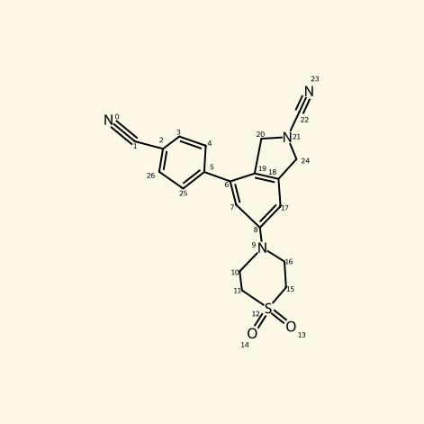 N#Cc1ccc(-c2cc(N3CCS(=O)(=O)CC3)cc3c2CN(C#N)C3)cc1